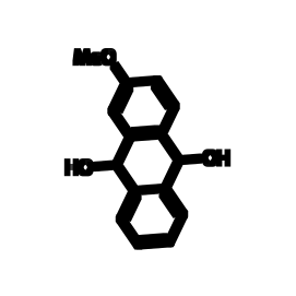 COc1ccc2c(c1)C(O)c1ccccc1C2O